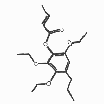 CC=CC(=O)Oc1c(OCC)cc(CCC)c(OCC)c1OCC